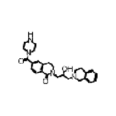 O=C(c1ccc2c(c1)CCN(CC(O)CN1CCc3ccccc3C1)C2=O)N1CCNCC1